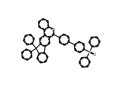 O=P(c1ccccc1)(c1ccccc1)c1ccc(-c2ccc(-c3nc4ccccc4c4cc5c(cc34)-c3ccccc3C5(c3ccccc3)c3ccccc3)cc2)cc1